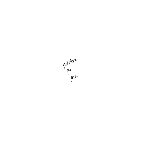 [Al+3].[As-3].[In+3].[P-3]